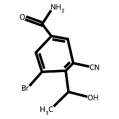 CC(O)c1c(Br)cc(C(N)=O)cc1C#N